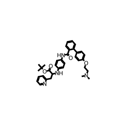 CN(C)CCOc1ccc(-c2ccccc2C(=O)Nc2ccc(NC(Cc3ccccn3)C(=O)OC(C)(C)C)cc2)cc1